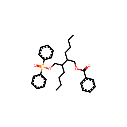 CCCCC(COC(=O)c1ccccc1)C(CCCC)COP(=O)(c1ccccc1)c1ccccc1